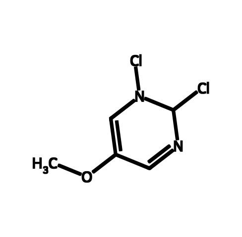 COC1=CN(Cl)C(Cl)N=C1